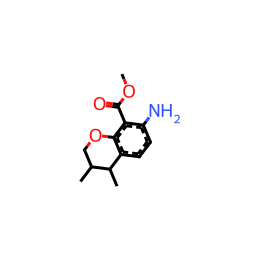 COC(=O)c1c(N)ccc2c1OCC(C)C2C